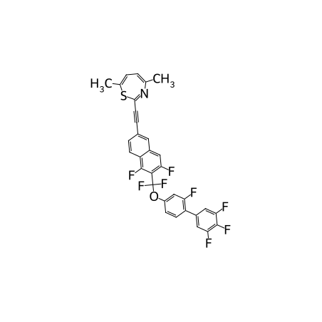 CC1=CC=C(C)SC(C#Cc2ccc3c(F)c(C(F)(F)Oc4ccc(-c5cc(F)c(F)c(F)c5)c(F)c4)c(F)cc3c2)=N1